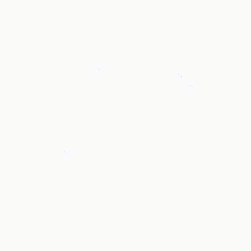 C=C(CSc1nnc(C)s1)Nc1ccc(-c2nc3ccccc3s2)cc1